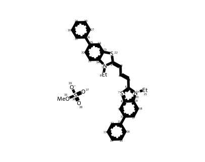 CCN1C(=CC=Cc2sc3cc(-c4ccccc4)ccc3[n+]2CC)Sc2cc(-c3ccccc3)ccc21.COS(=O)(=O)[O-]